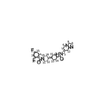 O=C(NCc1ccn2ccnc2c1)c1ccc(C2CCN(C(=O)c3ccc(F)cc3F)CC2)cc1